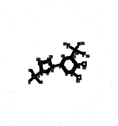 C[Si](C)(C)c1cn(-c2cc(Cl)c(Cl)c(C(F)(F)F)c2)nn1